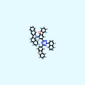 c1ccc2cc3c(cc2c1)c1ccc2ccccc2c1n3-c1cc(-c2nc(-c3ccc4sc5ccccc5c4c3)nc(-c3cccc4ccccc34)n2)cc2c1oc1ccccc12